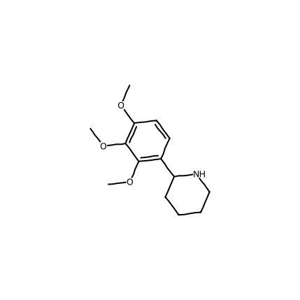 COc1ccc(C2CCCCN2)c(OC)c1OC